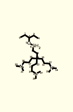 CCC(CC)O[SiH2]CCC(CCCN(C)C)(CCCN(C)C)CCCN(C)C